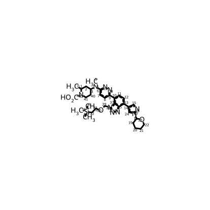 CC1CC(N(C)c2ccc(-c3ccc(-c4cnn(C5CCCCO5)c4)c4nnn(COCC[Si](C)(C)C)c34)nn2)CCN1C(=O)O